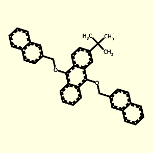 CC(C)(C)c1ccc2c(OCc3ccc4ccccc4c3)c3ccccc3c(OCc3ccc4ccccc4c3)c2c1